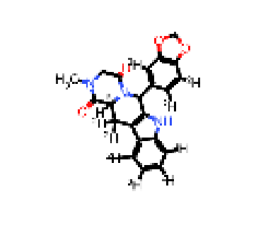 [2H]c1c([2H])c(C2c3[nH]c4c([2H])c([2H])c([2H])c([2H])c4c3C([2H])([2H])[C@@H]3C(=O)N(C)CC(=O)N23)c([2H])c2c1OCO2